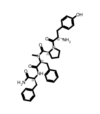 CN(C(=O)[C@@H]1CCCN1C(=O)[C@@H](N)Cc1ccc(O)cc1)[C@@H](Cc1ccccc1)C(=O)N[C@@H](Cc1ccccc1)C(N)=O